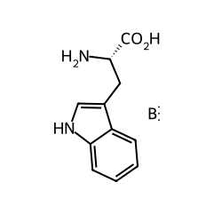 N[C@@H](Cc1c[nH]c2ccccc12)C(=O)O.[B]